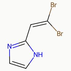 BrC(Br)=Cc1ncc[nH]1